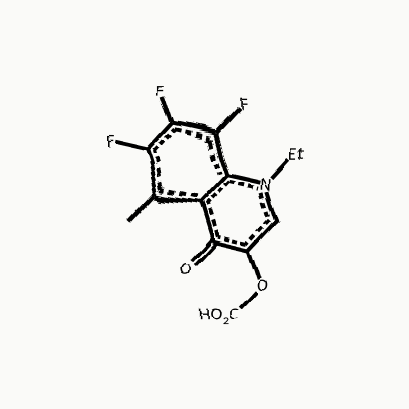 CCn1cc(OC(=O)O)c(=O)c2c(C)c(F)c(F)c(F)c21